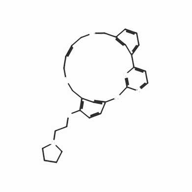 C1=C\COCc2cc(ccc2OCCN2CCCC2)Nc2nccc(n2)-c2cccc(c2)COC/1